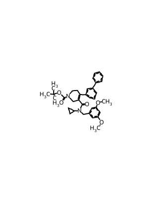 COc1cc(CN(C(=O)C2=C(c3cccc(-c4ccccc4)c3)CCN(C(=O)OC(C)(C)C)C2)C2CC2)cc(OC)c1